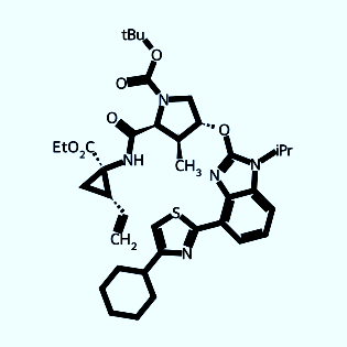 C=C[C@@H]1C[C@]1(NC(=O)[C@@H]1[C@H](C)[C@@H](Oc2nc3c(-c4nc(C5CCCCC5)cs4)cccc3n2C(C)C)CN1C(=O)OC(C)(C)C)C(=O)OCC